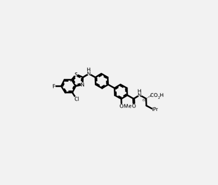 COc1cc(-c2ccc(Nc3nc4c(Cl)cc(F)cc4s3)cc2)ccc1C(=O)N[C@@H](CC(C)C)C(=O)O